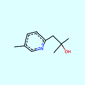 Cc1ccc(CC(C)(C)O)nc1